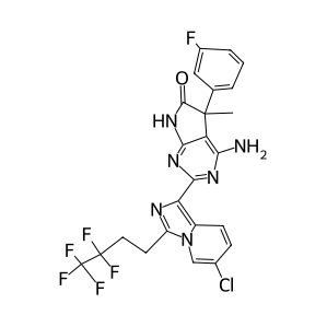 CC1(c2cccc(F)c2)C(=O)Nc2nc(-c3nc(CCC(F)(F)C(F)(F)F)n4cc(Cl)ccc34)nc(N)c21